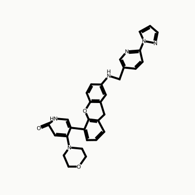 O=c1cc(N2CCOCC2)c(-c2cccc3c2Oc2ccc(NCc4ccc(-n5cccn5)nc4)cc2C3)c[nH]1